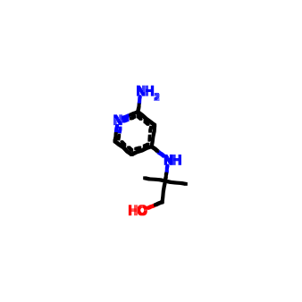 CC(C)(CO)Nc1ccnc(N)c1